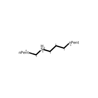 CCCCCCCC[SiH2]CCCCCC